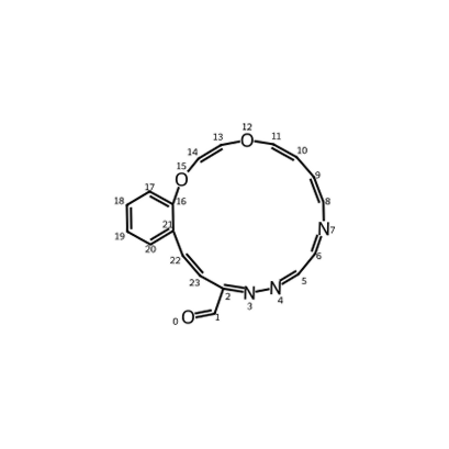 O=CC1=NN=CC=NC=CC=COC=COc2ccccc2C=C1